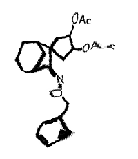 CC(=O)OC1CC2(CC1OC(C)=O)C(=NOCc1ccccc1)C1CCC2C1